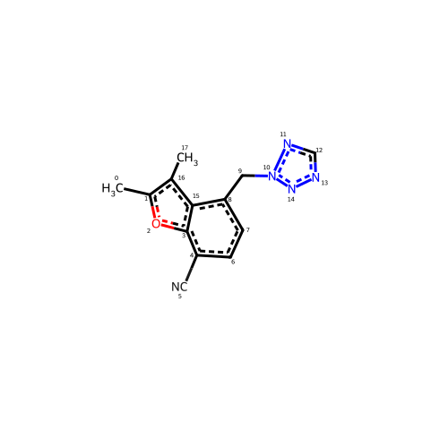 Cc1oc2c(C#N)ccc(Cn3ncnn3)c2c1C